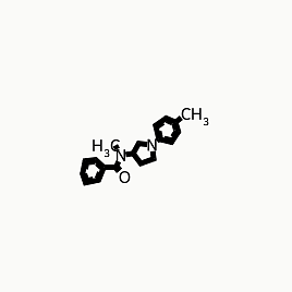 Cc1ccc(N2CCC(N(C)C(=O)c3ccccc3)C2)cc1